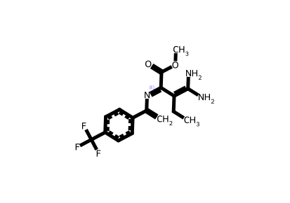 C=C(/N=C(/C(=O)OC)C(CC)=C(N)N)c1ccc(C(F)(F)F)cc1